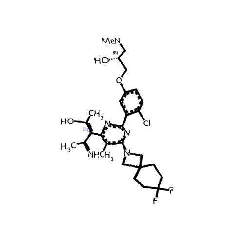 CNC[C@@H](O)COc1ccc(Cl)c(-c2nc(/C(C(C)=N)=C(\C)O)c(C)c(N3CC4(CCC(F)(F)CC4)C3)n2)c1